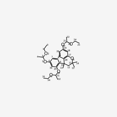 CCOC(C)Oc1ccc(C2(C)CC(C)(C)Oc3cc(OC(C)OCC)ccc32)c(OC(C)OCC)c1